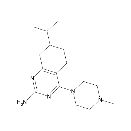 CC(C)C1CCc2c(nc(N)nc2N2CCN(C)CC2)C1